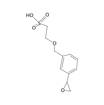 O=S(=O)(O)CCOCc1cccc(C2CO2)c1